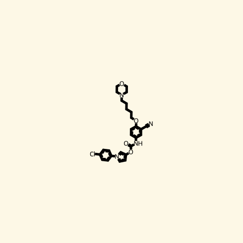 N#Cc1cc(NC(=O)Oc2ccn(-c3ccc(Cl)cc3)c2)ccc1OCCCCCN1CCOCC1